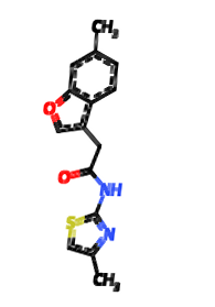 Cc1ccc2c(CC(=O)Nc3nc(C)cs3)coc2c1